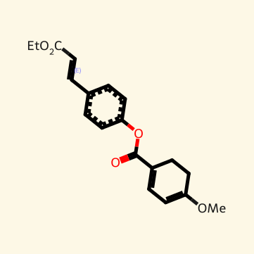 CCOC(=O)/C=C/c1ccc(OC(=O)C2=CC=C(OC)CC2)cc1